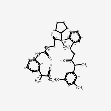 Cc1cc(C)cc(N(C)C(=O)COc2ccccc2[N+](C)(C(=O)CNC(=O)Nc2cccc(C(C)C(=O)O)c2)C2CCCC2)c1